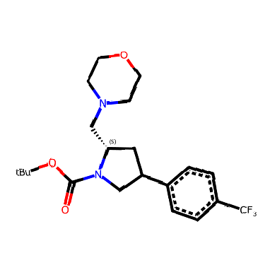 CC(C)(C)OC(=O)N1CC(c2ccc(C(F)(F)F)cc2)C[C@H]1CN1CCOCC1